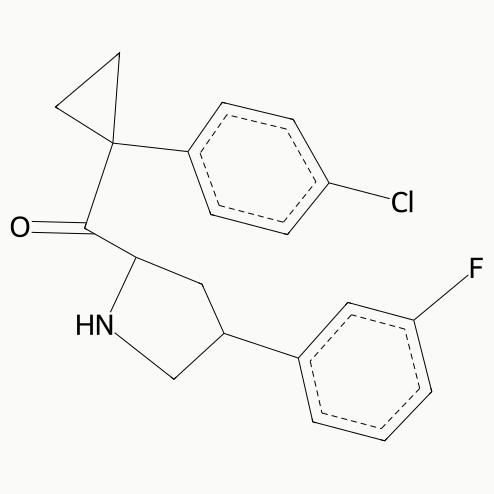 O=C(C1CC(c2cccc(F)c2)CN1)C1(c2ccc(Cl)cc2)CC1